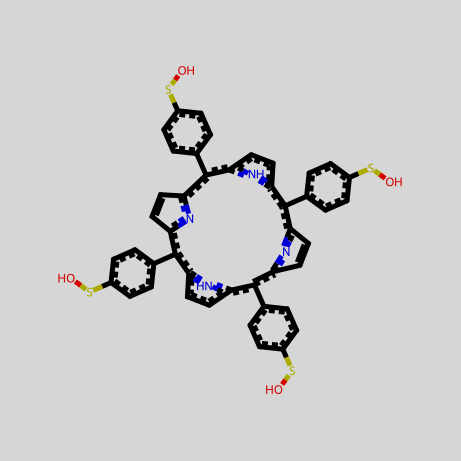 OSc1ccc(-c2c3nc(c(-c4ccc(SO)cc4)c4ccc([nH]4)c(-c4ccc(SO)cc4)c4nc(c(-c5ccc(SO)cc5)c5ccc2[nH]5)C=C4)C=C3)cc1